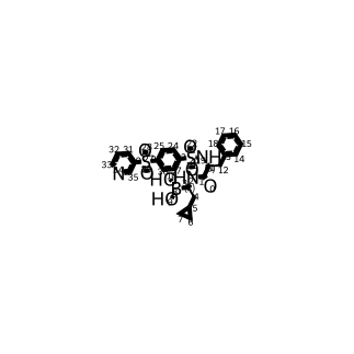 O=C(N[C@@H](CC1CC1)B(O)O)[C@H](Cc1ccccc1)NS(=O)(=O)c1ccc(S(=O)(=O)c2cccnc2)cc1